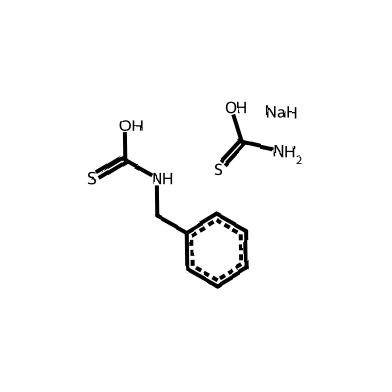 NC(O)=S.OC(=S)NCc1ccccc1.[NaH]